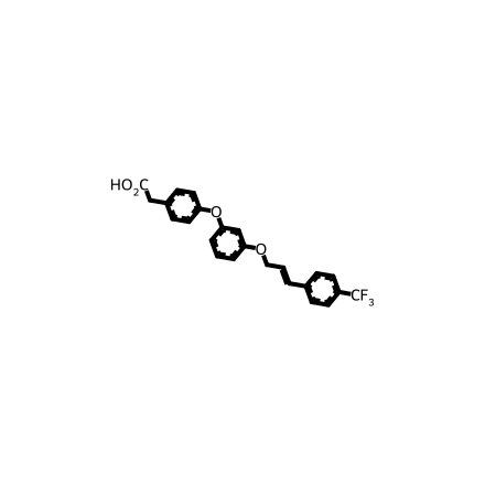 O=C(O)Cc1ccc(Oc2cccc(OCC=Cc3ccc(C(F)(F)F)cc3)c2)cc1